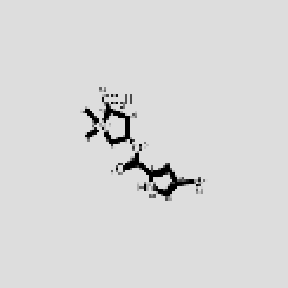 C[N+]1(C)C[C@H](OC(=O)c2cc(Br)c[nH]2)C[C@@H]1C(=O)O